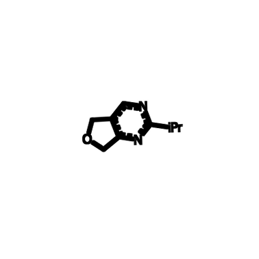 CC(C)c1ncc2c(n1)COC2